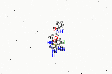 O=C(NCCOc1ccc(-c2cncn2-c2n[nH]c3nc(NC(=O)C4CC4)sc23)c(Cl)c1)c1ccccc1